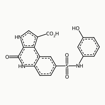 O=C(O)c1c[nH]c2c(=O)[nH]c3ccc(S(=O)(=O)Nc4cccc(O)c4)cc3c12